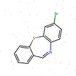 Brc1ccc2c(c1)Sc1ccccc1C=N2